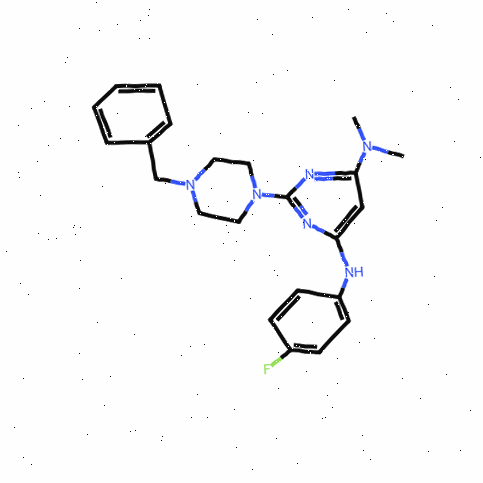 CN(C)c1cc(Nc2ccc(F)cc2)nc(N2CCN(Cc3ccccc3)CC2)n1